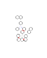 c1ccc(N(c2ccc(-c3cccc4ccccc34)cc2)c2ccc(-c3cccc4ccccc34)cc2)c(-c2cccc3c2-c2ccccc2C3(c2cccc3ccccc23)c2cccc3ccccc23)c1